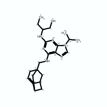 CCC(CO)Nc1nc(NCC23CC=C4C(CC4C2)C3)c2ncn(C(C)C)c2n1